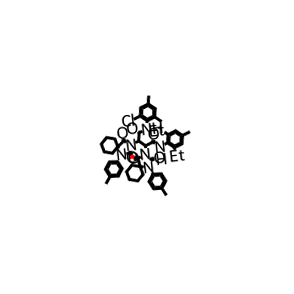 CCc1cc(C)cc(CC)c1NC(=O)C(C(C(=O)Nc1c(C)cc(C)cc1Cl)N1C(=O)N(c2ccc(C)cc2)C2(CCCCC2)C1=O)N1C(=O)N(c2ccc(C)cc2)C2(CCCCC2)C1=O